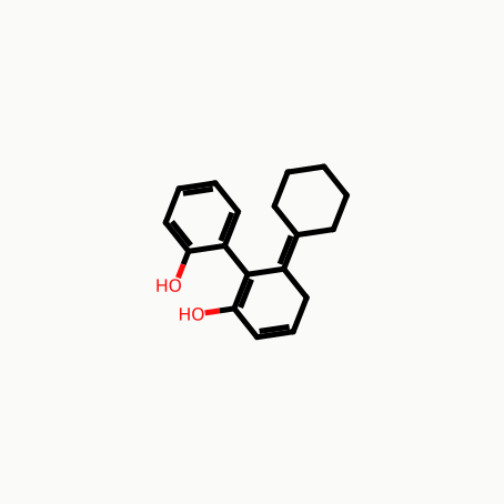 OC1=C(c2ccccc2O)C(=C2CCCCC2)CC=C1